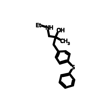 CCNCC(C)(O)Cc1ccc(Sc2ccccc2)cc1